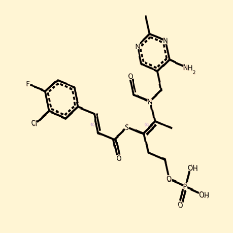 C/C(=C(\CCOP(=O)(O)O)SC(=O)/C=C/c1ccc(F)c(Cl)c1)N(C=O)Cc1cnc(C)nc1N